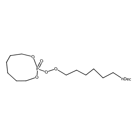 CCCCCCCCCCCCCCCCOOP1(=O)OCCCCCCO1